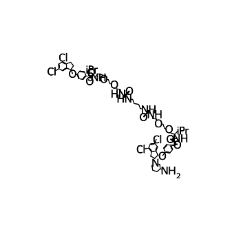 CC(C)C(COCCOCCNC(=O)NCCCCNC(=O)NCCOCCOCC(NS(=O)(=O)c1ccc(O[C@H]2c3cc(Cl)cc(Cl)c3C[C@@H]2N2CCC[C@@H](N)C2)cc1)C(C)C)NS(=O)(=O)c1ccc(O[C@@H]2CCc3c(Cl)cc(Cl)cc32)cc1